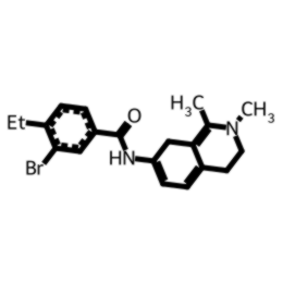 CCc1ccc(C(=O)NC2=CC=C3CCN(C)C(C)=C3C2)cc1Br